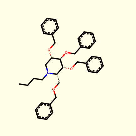 CCCCN1C[C@H](OCc2ccccc2)[C@@H](OCc2ccccc2)[C@H](OCc2ccccc2)[C@@H]1COCc1ccccc1